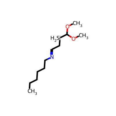 CCCCCCN=CC[SiH2]C(OC)OC